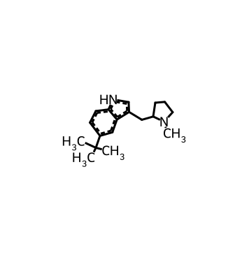 CN1CCCC1Cc1c[nH]c2ccc(C(C)(C)C)cc12